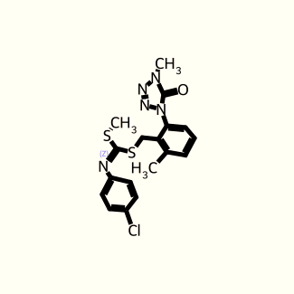 CS/C(=N/c1ccc(Cl)cc1)SCc1c(C)cccc1-n1nnn(C)c1=O